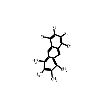 Bc1c(C)c(C)c(B)c2cc3c(CC)c(CC)c(CC)c(CC)c3cc12